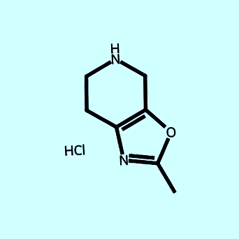 Cc1nc2c(o1)CNCC2.Cl